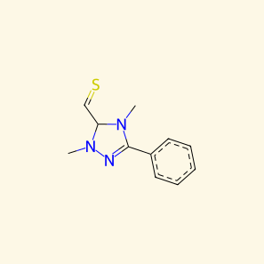 CN1N=C(c2ccccc2)N(C)C1C=S